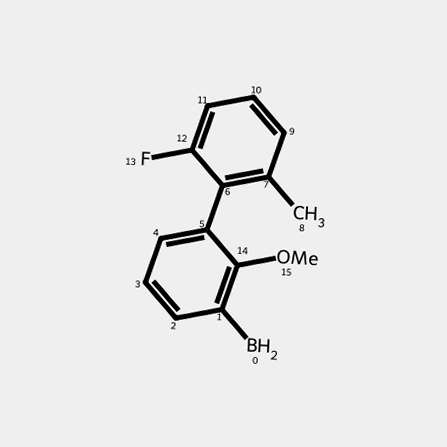 Bc1cccc(-c2c(C)cccc2F)c1OC